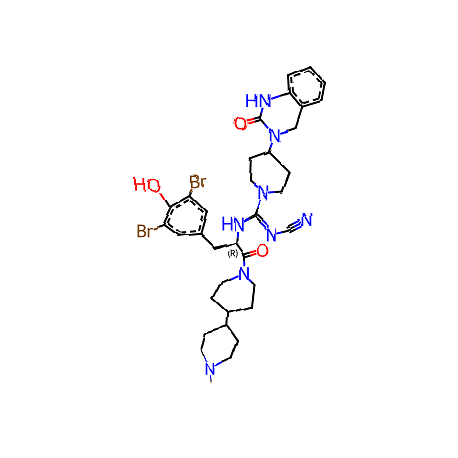 CN1CCC(C2CCN(C(=O)[C@@H](Cc3cc(Br)c(O)c(Br)c3)NC(=NC#N)N3CCC(N4Cc5ccccc5NC4=O)CC3)CC2)CC1